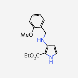 CCOC(=O)c1[nH]ccc1NCc1ccccc1OC